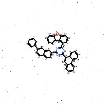 c1ccc(-c2ccc3ccc(-c4nc(-c5cc6ccccc6c6ccccc56)nc(-c5cccc6oc7ccccc7c56)n4)cc3c2)cc1